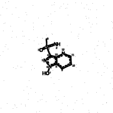 CS(=N)(=O)c1nn(O)c2cccnc12